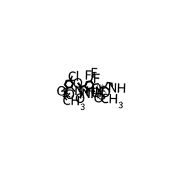 CCS(=O)(=O)c1ccc(Cl)cc1Cn1c(=O)[nH]c2c(Cl)c(C[C@H](NS(C)(=O)=O)C3CCNC3)c(C(F)(F)F)cc2c1=O